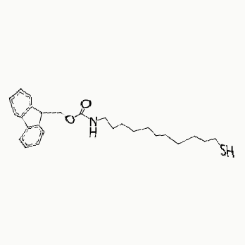 O=C(NCCCCCCCCCCCS)OCC1c2ccccc2-c2ccccc21